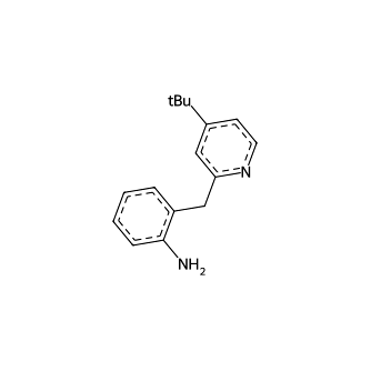 CC(C)(C)c1ccnc(Cc2ccccc2N)c1